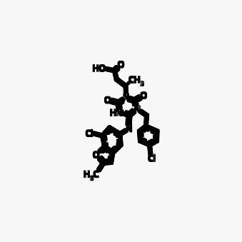 Cc1cc2cc(/N=c3\[nH]c(=O)n([C@@H](C)CC(=O)O)c(=O)n3Cc3ccc(Cl)cc3)cc(Cl)c2o1